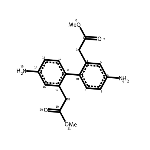 COC(=O)Cc1cc(N)ccc1-c1ccc(N)cc1CC(=O)OC